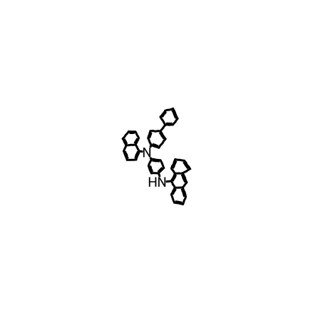 c1ccc(-c2ccc(N(c3ccc(Nc4c5ccccc5cc5ccccc45)cc3)c3cccc4ccccc34)cc2)cc1